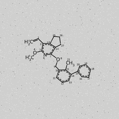 C=Cc1c(OC)nc(OCc2cccc(-c3ccccc3)c2C)c2c1CCC2